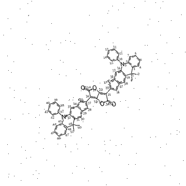 CC1(C)c2ccccc2N(c2ccccc2)c2cc3sc(C4=C5OC(=O)C(c6cc7cc8c(cc7s6)N(c6ccccc6)c6ccccc6C8(C)C)=C5OC4=O)cc3cc21